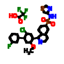 COc1cc(-c2cccc(F)c2)c(Cl)cc1-c1nccc2cc(S(=O)(=O)Nc3cscn3)ccc12.O=C(O)C(F)(F)F